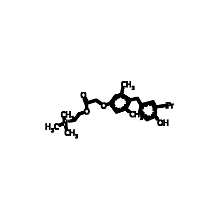 Cc1cc(OCC(=O)OCC[N+](C)(C)C)cc(C)c1Cc1ccc(O)c(C(C)C)c1